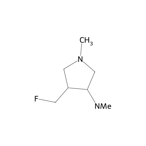 CNC1CN(C)CC1CF